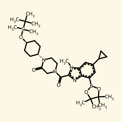 Cn1c(C(=O)N2CCN([C@H]3CC[C@H](O[Si](C)(C)C(C)(C)C)CC3)C(=O)C2)nc2c(B3OC(C)(C)C(C)(C)O3)cc(C3CC3)cc21